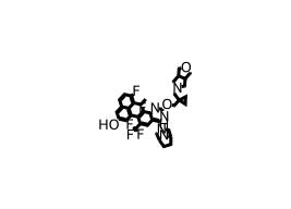 CCc1c(F)ccc2cc(O)cc(-c3c(C(F)(F)F)cc4c(N5CC6CCC(C5)N6)nc(OCC5(CN6CC7COCC7C6)CC5)nc4c3F)c12